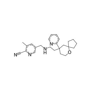 Cc1cc(CNCCC2(c3ccccn3)CCOC3(CCCC3)C2)cnc1C#N